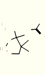 CC1(C)COBOC1(C)C.O=C([O-])[O-].[K+].[K+]